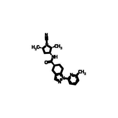 Cc1cccc(-n2ncc3c2CC[C@H](C(=O)N[C@@H]2C[C@H](C)N(C#N)[C@@H]2C)C3)n1